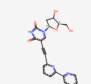 O=c1[nH]c(=O)n([C@H]2CC(O)[C@@H](CO)O2)cc1C#Cc1cccc(-c2ccccn2)n1